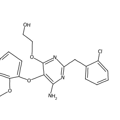 COc1ccccc1Oc1c(N)nc(Cc2ccccc2Cl)nc1OCCO